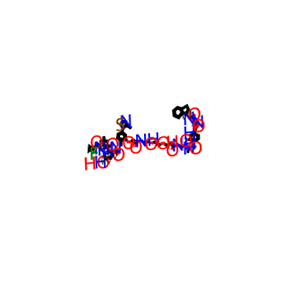 Cc1ncsc1-c1ccc(CNC(=O)[C@@H]2C[C@@H](O)CN2C(=O)[C@@H](NC(=O)C2(F)CC2)C(C)(C)C)c(OCC(=O)NCCOCCOCCC(=O)NCCN(C)C(=O)c2ccc(-c3cc(C(=O)N[C@@H]4CCc5ccccc54)no3)cc2O)c1